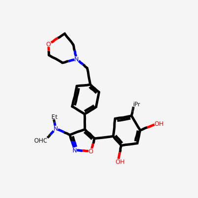 CCN(C=O)c1noc(-c2cc(C(C)C)c(O)cc2O)c1-c1ccc(CN2CCOCC2)cc1